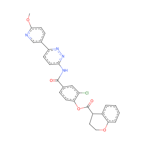 COc1ccc(-c2ccc(NC(=O)c3ccc(OC(=O)C4CCOc5ccccc54)c(Cl)c3)nn2)cn1